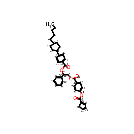 CCCCCC1CCC(c2ccc(C(=O)OC(COC(=O)c3ccc(OC(=O)C4=CC=CC4)cc3)c3ccccc3)cc2)CC1